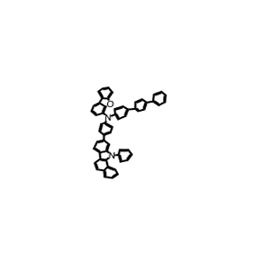 c1ccc(-c2ccc(-c3ccc(N(c4ccc(-c5ccc6c7ccc8ccccc8c7n(-c7ccccc7)c6c5)cc4)c4cccc5c4oc4ccccc45)cc3)cc2)cc1